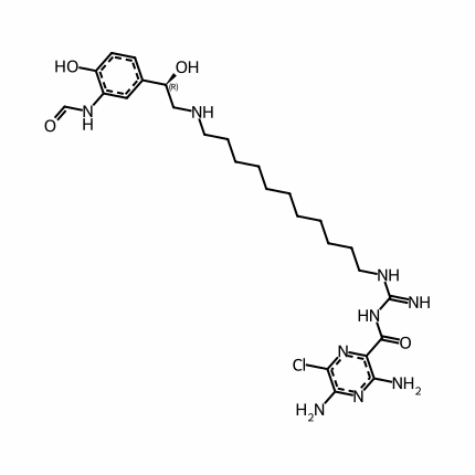 N=C(NCCCCCCCCCCCNC[C@H](O)c1ccc(O)c(NC=O)c1)NC(=O)c1nc(Cl)c(N)nc1N